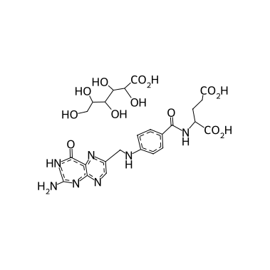 Nc1nc2ncc(CNc3ccc(C(=O)NC(CCC(=O)O)C(=O)O)cc3)nc2c(=O)[nH]1.O=C(O)C(O)C(O)C(O)C(O)CO